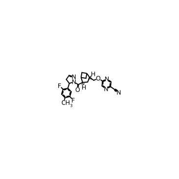 Cc1cc(F)c(C2CC=NN2C(=O)[C@H]2C[C@@H](COc3cnc(C#N)cn3)C3CC2C3)cc1F